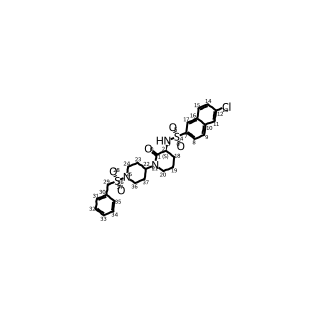 O=C1[C@@H](NS(=O)(=O)c2ccc3cc(Cl)ccc3c2)CCCN1C1CCN(S(=O)(=O)Cc2ccccc2)CC1